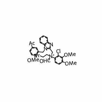 COc1ccc(C(C)=O)cc1Cn1c(C[N+](C=O)(CCC(C)C)c2ccc(OC)c(OC)c2Cl)nc2ccccc21